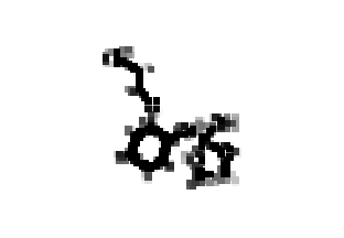 CCO[PH](O)(OCC)Oc1ccccc1OCCCl